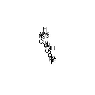 CC(=O)Nc1nnc(C2CCC=C(c3ccc(NC(=O)Cc4cccc(OC(F)(F)F)c4)nn3)C2)s1